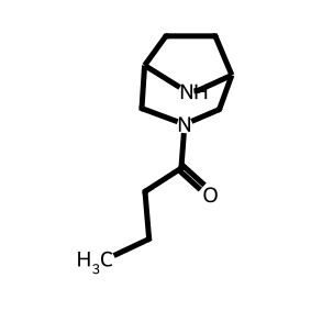 CCCC(=O)N1CC2CCC(C1)NC2